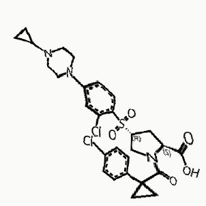 O=C(O)[C@@H]1C[C@@H](S(=O)(=O)c2ccc(N3CCN(C4CC4)CC3)cc2Cl)CN1C(=O)C1(c2ccc(Cl)cc2)CC1